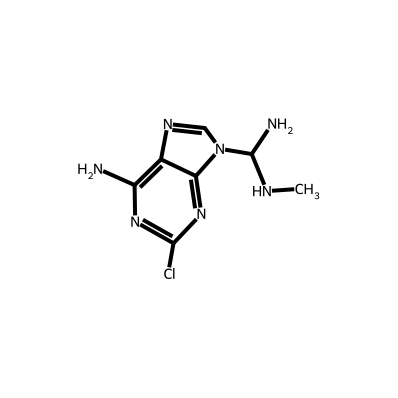 CNC(N)n1cnc2c(N)nc(Cl)nc21